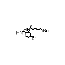 CCC(C)CCCCC(C)Nc1cc(Br)ccc1C=N